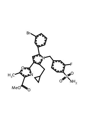 COC(=O)c1nc(-c2cc(-c3cccc(Br)c3)n(Cc3ccc(S(N)(=O)=O)c(F)c3)c2CC2CC2)oc1C